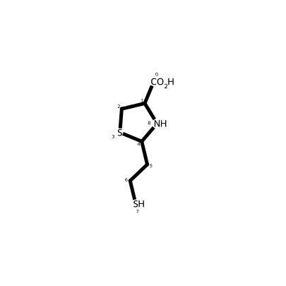 O=C(O)C1CSC(CCS)N1